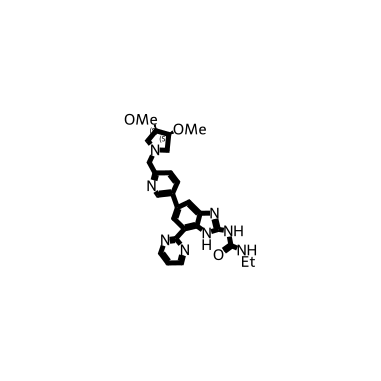 CCNC(=O)Nc1nc2cc(-c3ccc(CN4C[C@H](OC)[C@@H](OC)C4)nc3)cc(-c3ncccn3)c2[nH]1